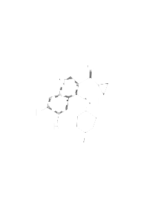 C[C@H]1CC[C@H](Nc2c(C(=O)C3CC3)cnc3cc(F)c(Br)cc23)CC1